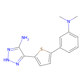 CN(C)c1cccc(-c2ccc(-c3n[nH]nc3N)s2)c1